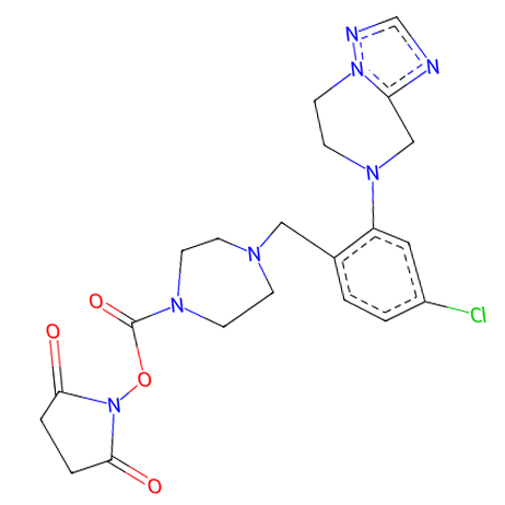 O=C(ON1C(=O)CCC1=O)N1CCN(Cc2ccc(Cl)cc2N2CCn3ncnc3C2)CC1